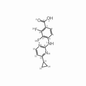 O=C(O)c1ccc(Nc2nccc(C3CC3)n2)c(F)c1F